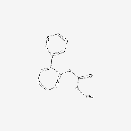 CCCCOC(=O)Oc1ccccc1-c1ccccc1